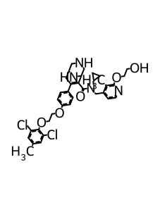 Cc1cc(Cl)c(OCCOc2ccc(C3=C(C(=O)N(Cc4ccnc(OCCO)c4C)C4CC4)C4CNCC(C3)N4)cc2)c(Cl)c1